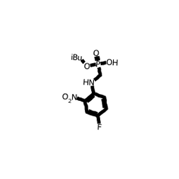 CCC(C)OP(=O)(O)CNc1ccc(F)cc1[N+](=O)[O-]